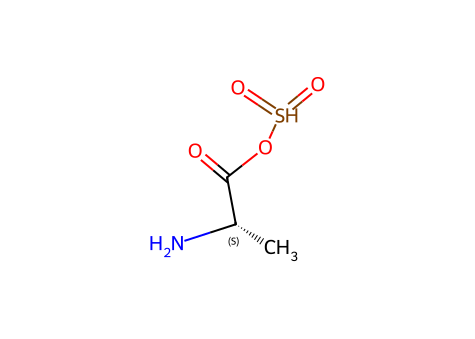 C[C@H](N)C(=O)O[SH](=O)=O